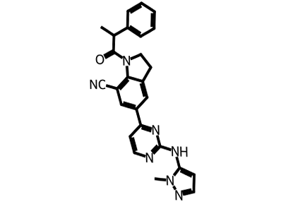 CC(C(=O)N1CCc2cc(-c3ccnc(Nc4ccnn4C)n3)cc(C#N)c21)c1ccccc1